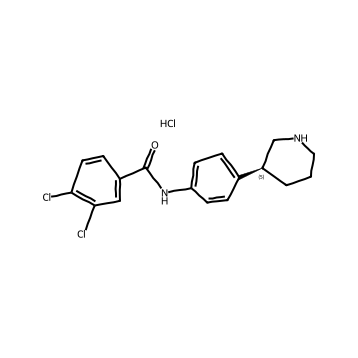 Cl.O=C(Nc1ccc([C@@H]2CCCNC2)cc1)c1ccc(Cl)c(Cl)c1